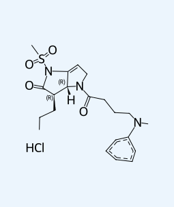 CCC[C@H]1C(=O)N(S(C)(=O)=O)C2=CCN(C(=O)CCCN(C)c3ccccc3)[C@@H]21.Cl